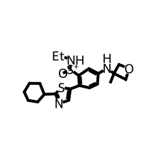 CCN[S+]([O-])c1cc(NC2(C)COC2)ccc1-c1cnc(C2CCCCC2)s1